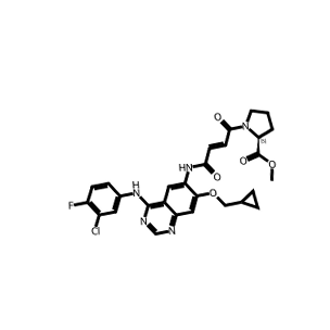 COC(=O)[C@@H]1CCCN1C(=O)C=CC(=O)Nc1cc2c(Nc3ccc(F)c(Cl)c3)ncnc2cc1OCC1CC1